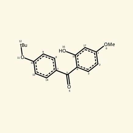 COc1ccc(C(=O)c2ccc(OC(C)(C)C)cc2)c(O)c1